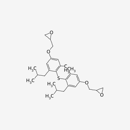 Cc1cc(OCC2CO2)cc(CC(C)C)c1Sc1c(C)cc(OCC2CO2)cc1CC(C)C